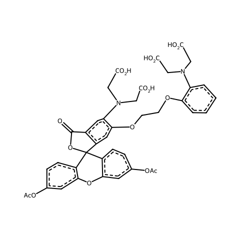 CC(=O)Oc1ccc2c(c1)Oc1cc(OC(C)=O)ccc1C21OC(=O)c2cc(N(CC(=O)O)CC(=O)O)c(OCCOc3ccccc3N(CC(=O)O)CC(=O)O)cc21